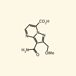 COCc1nn2c(C(=O)O)ccnc2c1C(N)=O